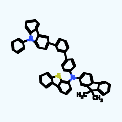 CC1(C)c2ccccc2-c2ccc(N(c3ccc(-c4cccc(-c5ccc6c(c5)c5ccccc5n6-c5ccccc5)c4)cc3)c3cccc4c3sc3ccccc34)cc21